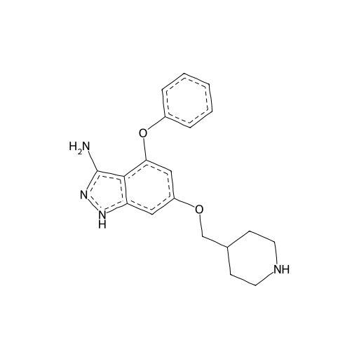 Nc1n[nH]c2cc(OCC3CCNCC3)cc(Oc3ccccc3)c12